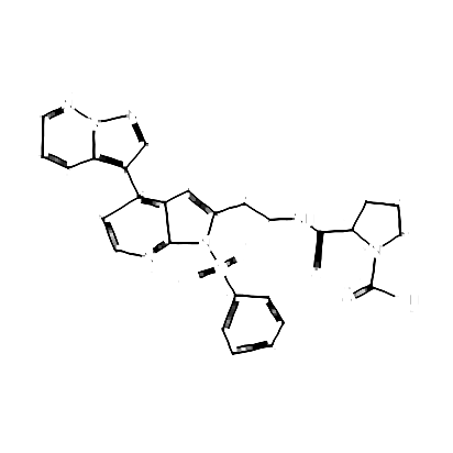 O=C(NCCc1cc2c(-c3cnn4ncccc34)ccnc2n1S(=O)(=O)c1ccccc1)C1CCCN1C(=O)O